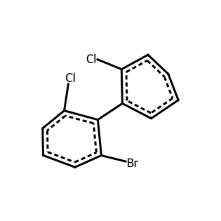 Clc1ccccc1-c1c(Cl)cccc1Br